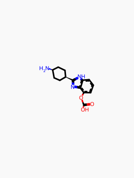 N[C@H]1CC[C@@H](c2nc3c(OC(=O)O)cccc3[nH]2)CC1